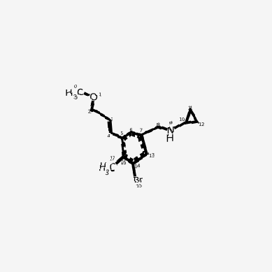 COC/C=C/c1cc(CNC2CC2)cc(Br)c1C